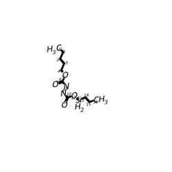 CCCCCOC(=O)/N=N/C(=O)O[SiH2]CCC